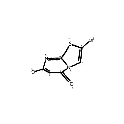 O=c1cc(Cl)nc2sc(Br)cn12